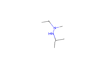 CCN(C)NC(C)C